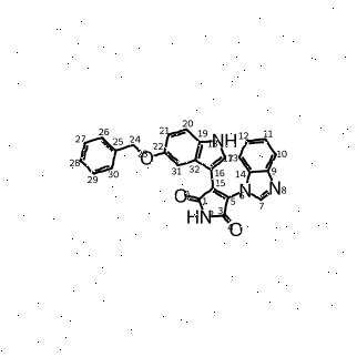 O=C1NC(=O)C(n2cnc3ccccc32)=C1c1c[nH]c2ccc(OCc3ccccc3)cc12